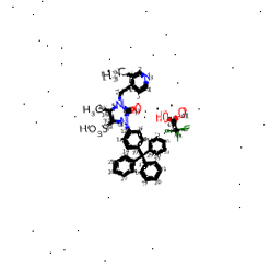 Cc1cnccc1CN1C(=O)N(c2ccc(C(c3ccccc3)(c3ccccc3)c3ccccc3)cc2)C(S(=O)(=O)O)C1C.O=C(O)C(F)(F)F